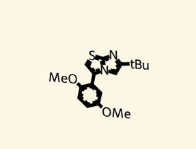 COc1ccc(OC)c(-c2csc3nc(C(C)(C)C)cn23)c1